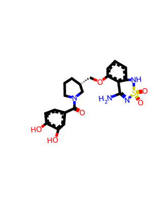 NC1=NS(=O)(=O)Nc2cccc(OC[C@H]3CCCN(C(=O)c4ccc(O)c(O)c4)C3)c21